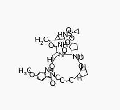 C=C[C@@H]1C[C@]1(NC(=O)[C@@H]1C[C@@H]2CN1C(=O)[C@H](C1CCCC1)NC(=O)O[C@@H]1CCC[C@H]1CCCCCn1c(nc3cc(OC)ccc3c1=O)O2)C(=O)NS(=O)(=O)C1CC1